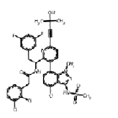 Cn1nc(NS(C)(=O)=O)c2c(Cl)ccc(-c3ccc(C#CC(C)(C)O)nc3[C@H](Cc3cc(F)cc(F)c3)NC(=O)Cc3cccc(Cl)c3Cl)c21